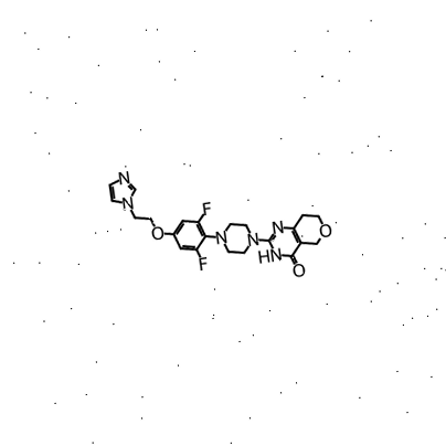 O=c1[nH]c(N2CCN(c3c(F)cc(OCCn4ccnc4)cc3F)CC2)nc2c1COCC2